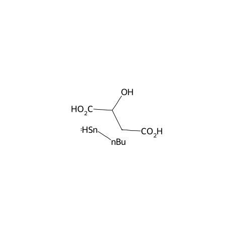 CCC[CH2][SnH].O=C(O)CC(O)C(=O)O